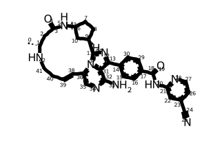 C[C@@H]1CC(=O)N[C@@H]2CC[C@H](C2)c2nc(-c3ccc(C(=O)Nc4cc(C#N)ccn4)cc3)c3c(N)ncc(n23)/C=C/CCN1